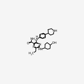 CCc1nc(C(N)=O)c(Nc2ccc(C3CCNCC3)cc2)nc1NC1CCC(O)CC1